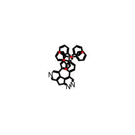 c1ccc(-n2c3ccccc3c3cc(-c4cncc5c4-c4c(-c6ccc7c(c6)c6ccccc6n7-c6ccccc6)cnnc4C5)ccc32)cc1